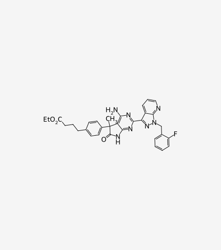 CCOC(=O)CCCc1ccc(C2(C)C(=O)Nc3nc(-c4nn(Cc5ccccc5F)c5ncccc45)nc(N)c32)cc1